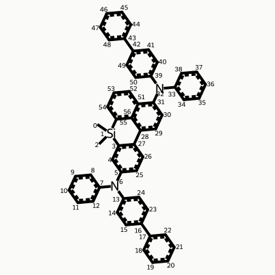 C[Si]1(C)c2cc(N(c3ccccc3)c3ccc(-c4ccccc4)cc3)ccc2-c2ccc(N(c3ccccc3)c3ccc(-c4ccccc4)cc3)c3cccc1c23